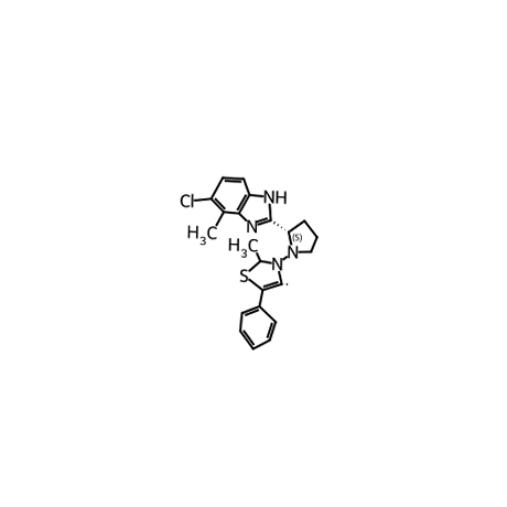 Cc1c(Cl)ccc2[nH]c([C@@H]3CCCN3N3[C]=C(c4ccccc4)SC3C)nc12